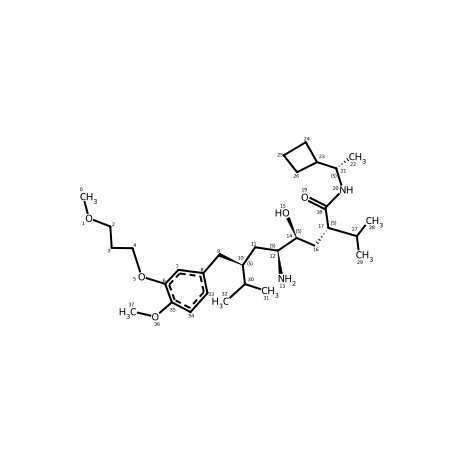 COCCCOc1cc(C[C@@H](C[C@H](N)[C@@H](O)C[C@H](C(=O)N[C@@H](C)C2CCC2)C(C)C)C(C)C)ccc1OC